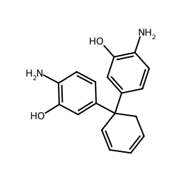 Nc1ccc(C2(c3ccc(N)c(O)c3)C=CC=CC2)cc1O